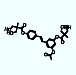 CC(=O)Oc1cc(/C=C/c2ccc(OC(=O)C(C)(CO)CO)cc2)cc(OC(=O)C(C)(CO)CO)c1